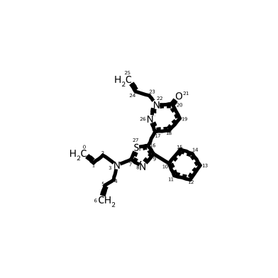 C=CCN(CC=C)c1nc(-c2ccccc2)c(-c2ccc(=O)n(CC=C)n2)s1